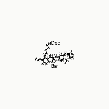 CCCCCCCCCCCCCCOc1c(CC(=O)Nc2cccc(C[n+]3cscc3C)c2)cccc1C(C)=O.[Br-]